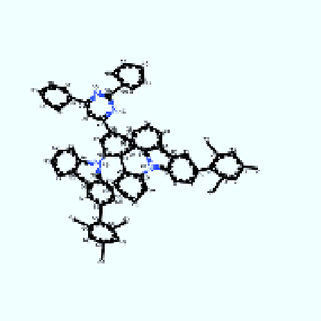 Cc1cc(C)c(-c2ccc3c(c2)c2ccccc2n3-c2ccccc2-c2ccc(-c3cc(-c4ccccc4)nc(-c4ccccc4)n3)cc2-n2c3ccccc3c3cc(-c4c(C)cc(C)cc4C)ccc32)c(C)c1